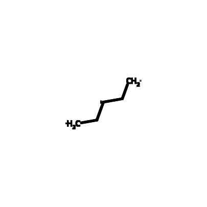 [CH2]C[C]C[CH2]